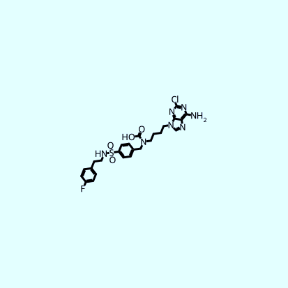 Nc1nc(Cl)nc2c1ncn2CCCCN(Cc1ccc(S(=O)(=O)NCCc2ccc(F)cc2)cc1)C(=O)O